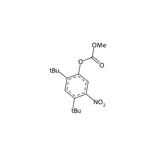 COC(=O)Oc1cc([N+](=O)[O-])c(C(C)(C)C)cc1C(C)(C)C